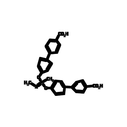 CN=P(C)(Oc1ccc(-c2ccc(C(=O)O)cc2)cc1)Oc1ccc(-c2ccc(C(=O)O)cc2)cc1